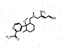 COC1(c2ccnc(C(N)=O)c2)C(C)CCCC1CN(C)C/C(N)=C/C=N